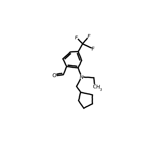 CCN(CC1CCCC1)c1cc(C(F)(F)F)ccc1C=O